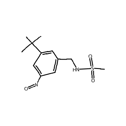 CC(C)(C)c1cc(CNS(C)(=O)=O)cc(N=O)c1